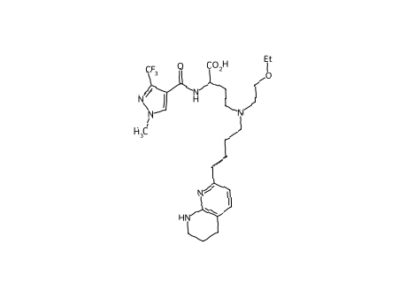 CCOCCN(CCCCc1ccc2c(n1)NCCC2)CCC(NC(=O)c1cn(C)nc1C(F)(F)F)C(=O)O